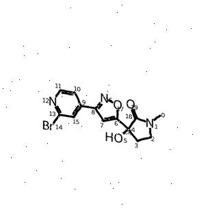 CN1CC[C@](O)(c2cc(-c3ccnc(Br)c3)no2)C1=O